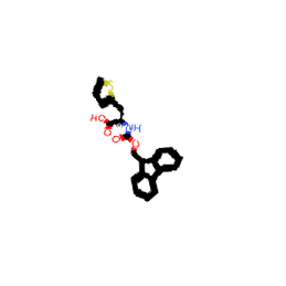 O=C(N[C@H](Cc1cccs1)C(=O)O)OCC1c2ccccc2-c2ccccc21